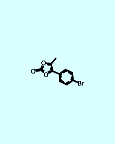 Cc1oc(=O)oc1-c1ccc(Br)cc1